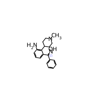 CN1CCC(c2c(N)cccc2/C(=N\O)c2ccccc2)CC1